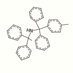 Cc1ccc(C(NC(C)(c2ccccc2)c2ccccc2)(c2ccccc2)c2ccccc2)cc1